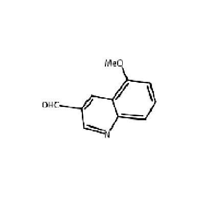 COc1cccc2ncc(C=O)cc12